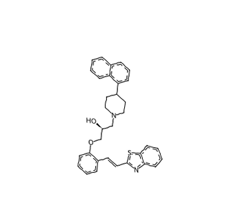 O[C@H](COc1ccccc1C=Cc1nc2ccccc2s1)CN1CCC(c2cccc3ccccc23)CC1